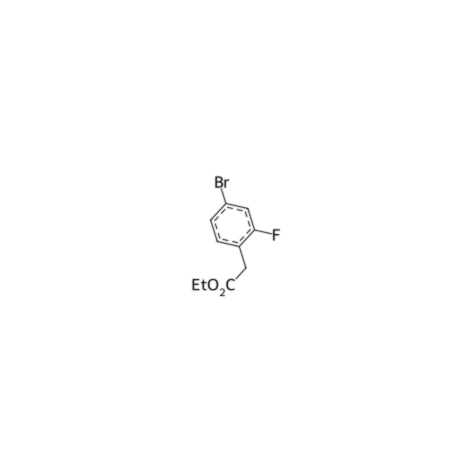 CCOC(=O)Cc1ccc(Br)cc1F